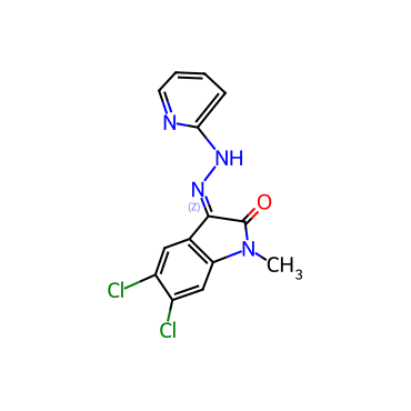 CN1C(=O)/C(=N\Nc2ccccn2)c2cc(Cl)c(Cl)cc21